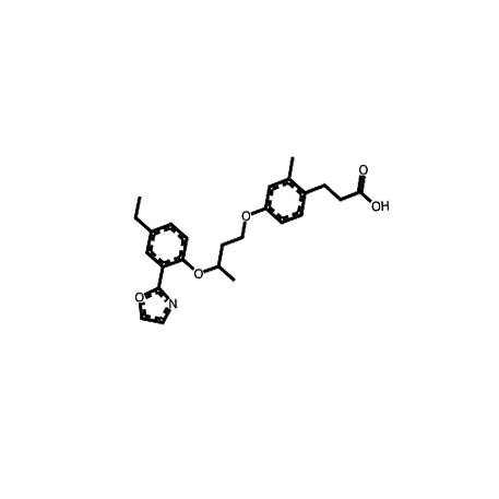 CCc1ccc(OC(C)CCOc2ccc(CCC(=O)O)c(C)c2)c(-c2ncco2)c1